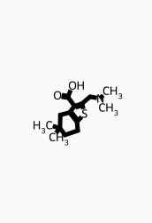 CN(C)Cc1sc2c(c1C(=O)O)CC(C)(C)CC2